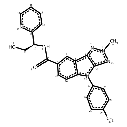 Cn1nc2c3cc(C(=O)N[C@@H](CO)c4ccccn4)ccc3n(-c3ccc(C(F)(F)F)cc3)c2n1